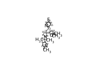 Cc1ccc(C(C)(C)N2CC[C@@](CCc3ccc(F)cn3)(C3CCC(C)(C)O3)C2)cn1